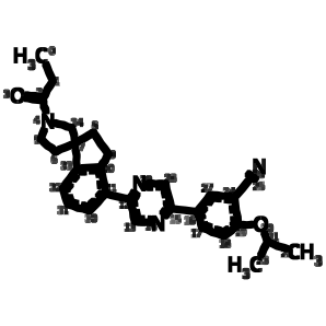 CCC(=O)N1CCC2(CCc3c(-c4cnc(-c5ccc(OC(C)C)c(C#N)c5)cn4)cccc32)C1